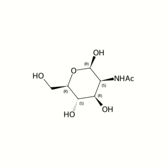 CC(=O)N[C@H]1[C@@H](O)[C@H](O)[C@@H](CO)O[C@H]1O